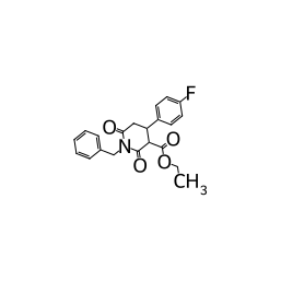 CCOC(=O)C1C(=O)N(Cc2ccccc2)C(=O)CC1c1ccc(F)cc1